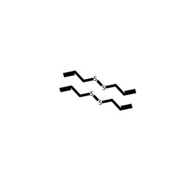 C=CCSSCC=C.C=CCSSCC=C